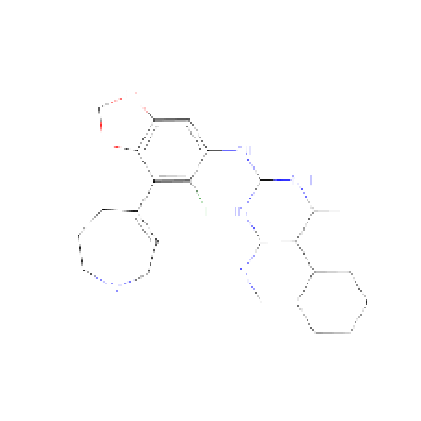 CNC1NC(Nc2cc3c(c(C4=CCN[C@H](C)CC4)c2F)OCO3)NC(C)C1C1CCCCC1